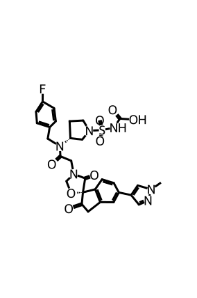 Cn1cc(-c2ccc3c(c2)CC(=O)[C@]32OCN(CC(=O)N(Cc3ccc(F)cc3)[C@@H]3CCN(S(=O)(=O)NC(=O)O)C3)C2=O)cn1